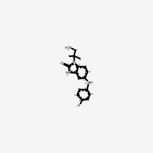 CC(C)(CN)n1c(=O)[nH]c2cc(Nc3ccc(F)cc3)ccc21